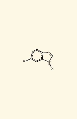 [O-][NH+]1C=Nc2c[c]c(Br)cc21